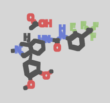 CC(=O)O.COc1ccc([C@@]23CC[C@H](NC(=O)Nc4cccc(C(F)(F)F)c4F)C[C@@H]2CN(C)C3)cc1OC